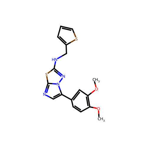 COc1ccc(-c2cnc3sc(NCc4cccs4)nn23)cc1OC